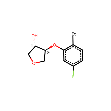 CCc1ccc(F)cc1O[C@H]1COC[C@@H]1O